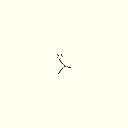 [AlH3].[CH3][Al]([CH3])[CH3]